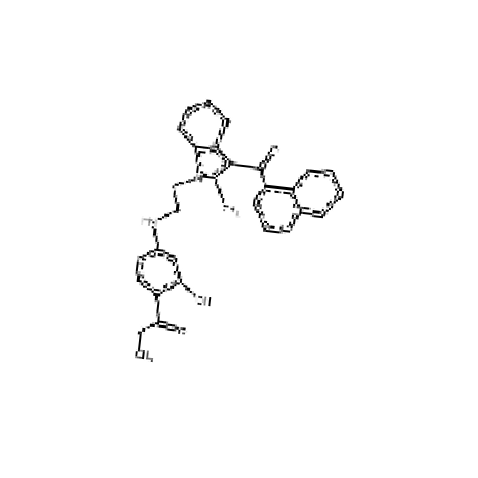 COC(=O)c1ccc(NCCn2c(C)c(C(=O)c3cccc4ccccc34)c3ccccc32)cc1O